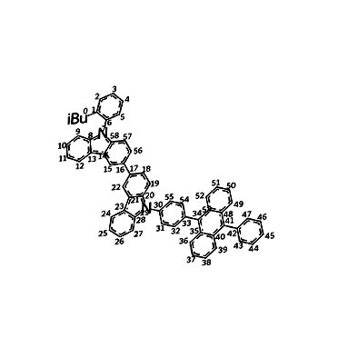 CCC(C)c1ccccc1-n1c2ccccc2c2cc(-c3ccc4c(c3)c3ccccc3n4-c3ccc(-c4c5ccccc5c(-c5ccccc5)c5ccccc45)cc3)ccc21